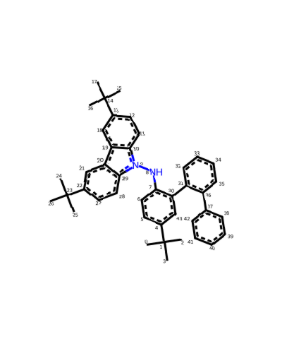 CC(C)(C)c1ccc(Nn2c3ccc(C(C)(C)C)cc3c3cc(C(C)(C)C)ccc32)c(-c2ccccc2-c2ccccc2)c1